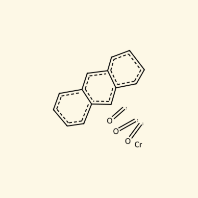 [C]=O.[C]=O.[C]=O.[Cr].c1ccc2cc3ccccc3cc2c1